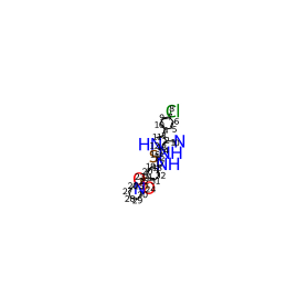 N#Cc1c(-c2ccc(Cl)cc2)c[nH]c1NC(=S)Nc1ccc(S(=O)(=O)N2CCCCC2)cc1